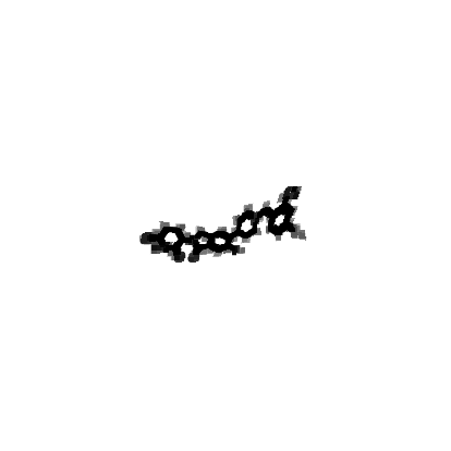 N#Cc1cc(F)ccc1CN1CCC(c2cc3c(cc2F)C(=O)N(C2CCC(=O)NC2=O)C3)CC1